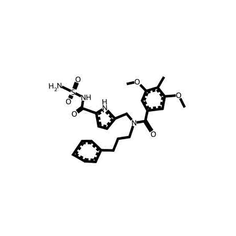 COc1cc(C(=O)N(CCCc2ccccc2)Cc2ccc(C(=O)NS(N)(=O)=O)[nH]2)cc(OC)c1C